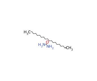 C=CCCCCCCCCCCCCCCCCCC.NC(N)=O